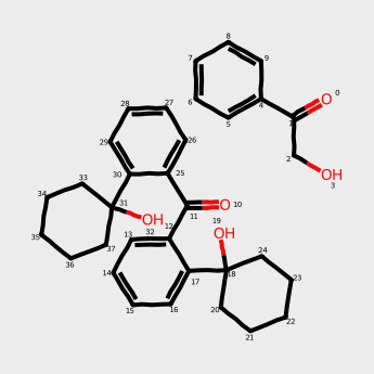 O=C(CO)c1ccccc1.O=C(c1ccccc1C1(O)CCCCC1)c1ccccc1C1(O)CCCCC1